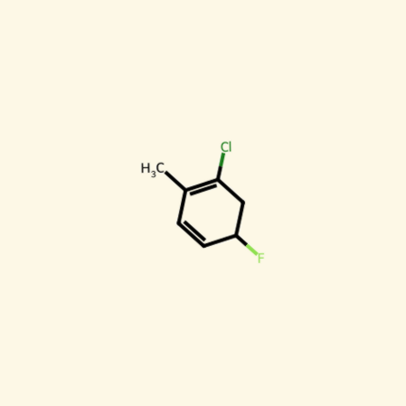 CC1=C(Cl)CC(F)C=C1